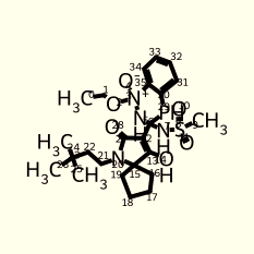 CCO[N+]1([O-])NC(NS(C)(=O)=O)(C2=C(O)C3(CCCC3)N(CCC(C)(C)C)C2=O)Pc2ccccc21